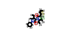 C=CC1=C(C)N(C2CCCCC2)C(=O)C1N(C(=O)Cc1cccs1)/C(C=C)=C(/C)Cl